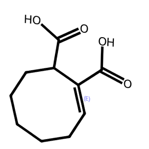 O=C(O)/C1=C/CCCCCC1C(=O)O